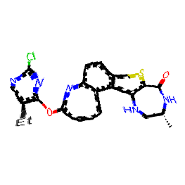 CCc1cnc(Cl)nc1Oc1ccc2c(ccc3sc4c(c32)NC[C@@H](C)NC4=O)n1